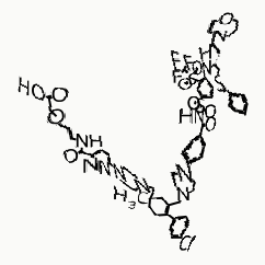 C[C@@]1(CN2CCN(c3ccc(C(=O)NCCCOCC(=O)O)nn3)CC2)CCC(c2ccc(Cl)cc2)=C(CN2CCN(c3ccc(C(=O)NS(=O)(=O)c4ccc(N[C@H](CCN5CCCOCC5)CSc5ccccc5)c(S(=O)(=O)C(F)(F)F)c4)cc3)CC2)C1